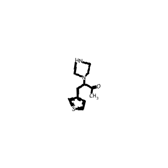 CC(=O)C(Cc1ccsc1)N1CCNCC1